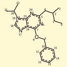 CCC(C)Cc1nc(OCc2ccccc2)c2ncn(C(C)C)c2n1